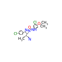 CCC(C#N)C1CN(C(=O)Nc2ccc(OC(C)C)c(Cl)c2)N=C1c1ccc(Cl)cc1